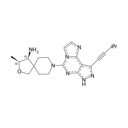 CC(C)C#Cc1n[nH]c2nc(N3CCC4(CC3)CO[C@@H](C)[C@H]4N)n3ccnc3c12